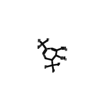 CC1C(N)=CC(C(F)(F)F)=CCC1C(F)(F)F